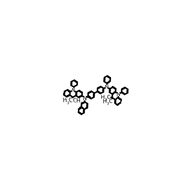 CC1(C)c2ccccc2N(c2ccccc2)c2ccc(N(c3ccccc3)c3ccc(-c4ccc(N(c5ccc6c(c5)C(C)(C)c5ccccc5N6c5ccccc5)c5ccc6ccccc6c5)cc4)cc3)cc21